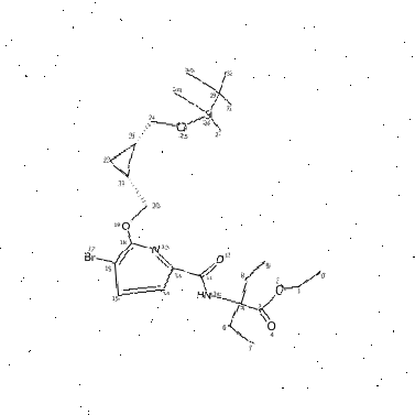 CCOC(=O)C(CC)(CC)NC(=O)c1ccc(Br)c(OC[C@@H]2C[C@@H]2CO[Si](C)(C)C(C)(C)C)n1